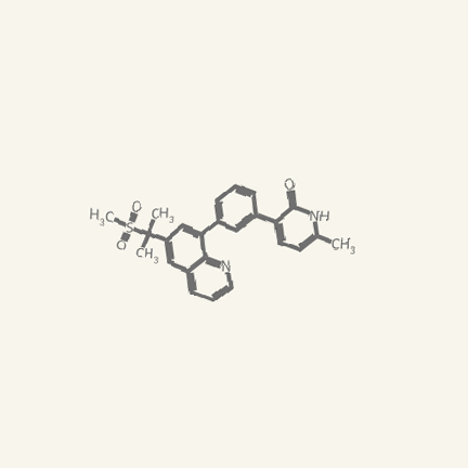 Cc1ccc(-c2cccc(-c3cc(C(C)(C)S(C)(=O)=O)cc4cccnc34)c2)c(=O)[nH]1